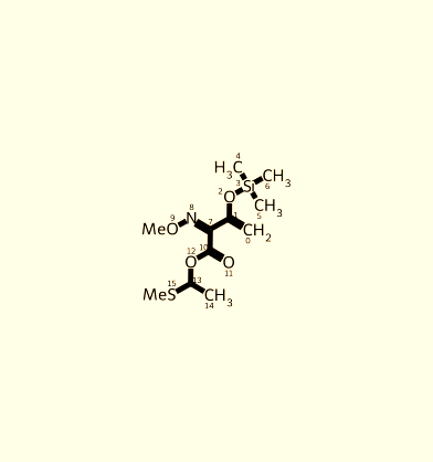 C=C(O[Si](C)(C)C)C(=NOC)C(=O)OC(C)SC